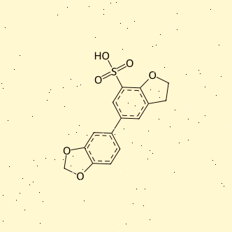 O=S(=O)(O)c1cc(-c2ccc3c(c2)OCO3)cc2c1OCC2